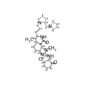 Cc1c(C=CCN2CCCC2CN2CCCC2)[nH]c(=O)c2c1ccc1nc(Nc3c(Cl)cccc3Cl)n(C)c12